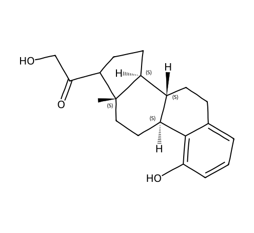 C[C@]12CC[C@@H]3c4c(O)cccc4CC[C@H]3[C@@H]1CCC2C(=O)CO